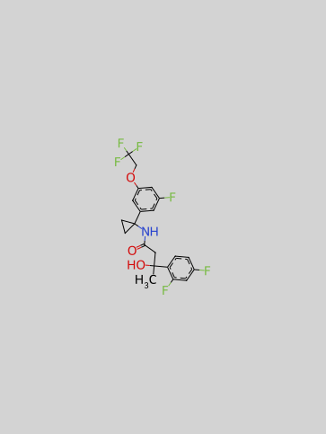 CC(O)(CC(=O)NC1(c2cc(F)cc(OCC(F)(F)F)c2)CC1)c1ccc(F)cc1F